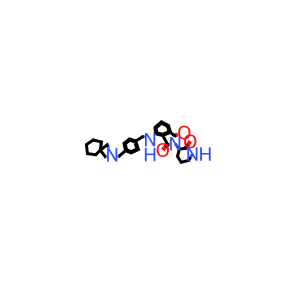 O=C1NCCCC1N1C(=O)c2cccc(NCc3ccc(CN4CC5(CCCCC5)C4)cc3)c2C1=O